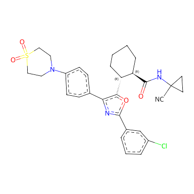 N#CC1(NC(=O)[C@@H]2CCCC[C@H]2c2oc(-c3cccc(Cl)c3)nc2-c2ccc(N3CCS(=O)(=O)CC3)cc2)CC1